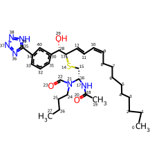 CCCCCCCCC/C=C\C=C\[C@@H](SC[C@H](NC(C)=O)N(C=O)CCCC)[C@@H](O)c1cccc(-c2nnn[nH]2)c1